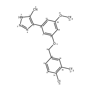 N#Cc1[nH]nnc1-c1cc(OCc2ccc(Cl)c(C(F)(F)F)c2)cc(OC(F)(F)F)c1